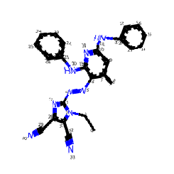 CCn1c(N=Nc2c(C)cc(Nc3ccccc3)nc2Nc2ccccc2)nc(C#N)c1C#N